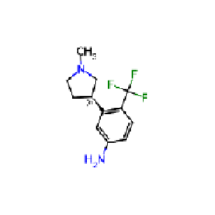 CN1CC[C@H](c2cc(N)ccc2C(F)(F)F)C1